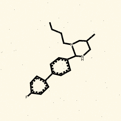 CCCCN1CC(C)CNC1c1ccc(-c2ccc(F)cc2)cc1